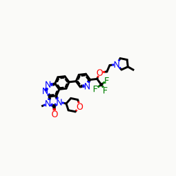 CC1CCN(CCOC(c2ccc(-c3ccc4nnc5c(c4c3)n(C3CCOCC3)c(=O)n5C)cn2)C(F)(F)F)C1